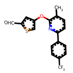 Cc1ccc(-c2ccc(C(F)(F)F)cc2)nc1Oc1csc(C=O)c1